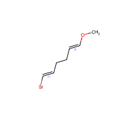 CO/C=C/CC/C=C/Br